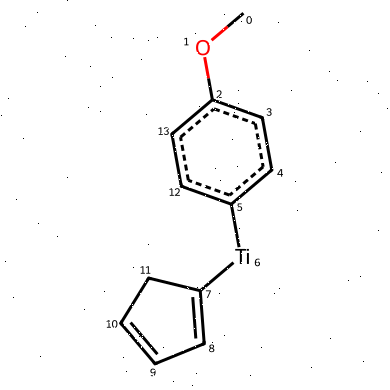 COc1cc[c]([Ti][C]2=CC=CC2)cc1